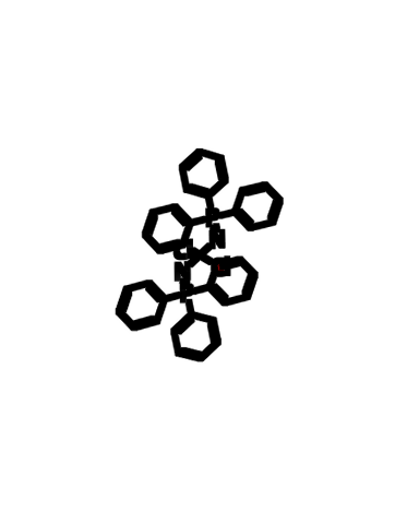 ClC(Cl)(N=P(c1ccccc1)(c1ccccc1)c1ccccc1)N=P(c1ccccc1)(c1ccccc1)c1ccccc1